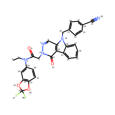 CCN(C(=O)Cn1ncc2c(c1=O)c1ccccc1n2Cc1ccc(C#N)cc1)c1ccc2c(c1)OC(F)(F)O2